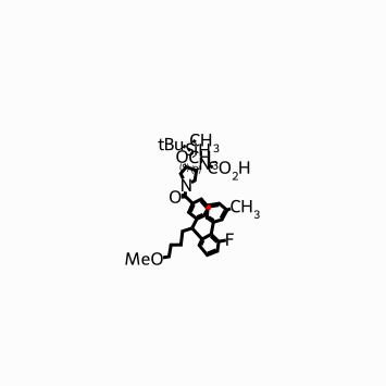 COCCCCC(c1cccc(C(=O)N2C[C@H](O[Si](C)(C)C(C)(C)C)[C@H](NC(=O)O)C2)c1)c1cccc(F)c1-c1cccc(C)c1